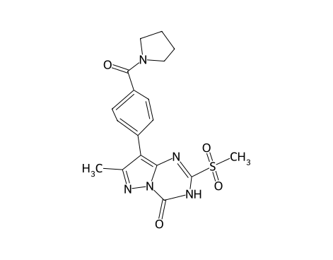 Cc1nn2c(=O)[nH]c(S(C)(=O)=O)nc2c1-c1ccc(C(=O)N2CCCC2)cc1